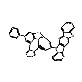 c1ccc(-c2cc3oc4cc(-n5c6cc7c(cc6c6ncccc65)oc5ccccc57)cc5c6ccccc6c(c2)c3c45)cc1